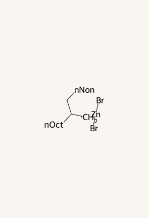 [Br][Zn][Br].[CH2]C(CCCCCCCC)CCCCCCCCCC